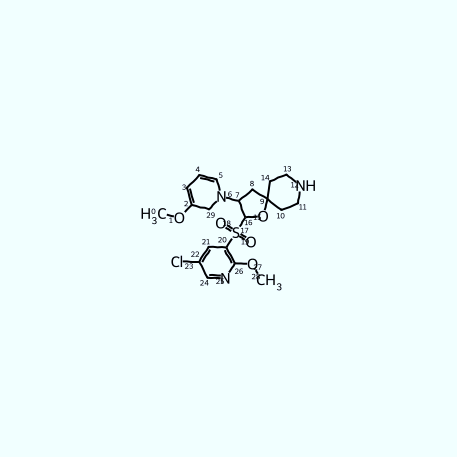 COC1=CC=CN(C2CC3(CCNCC3)OC2S(=O)(=O)c2cc(Cl)cnc2OC)C1